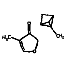 CC1=COCC1=O.CC1C2CC1C2